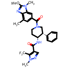 COc1nc2c(C)cc(C(=O)N3CC[C@@H](NC(=O)c4cnn(C)c4C(F)(F)F)[C@@H](c4ccccc4)C3)cc2n1C